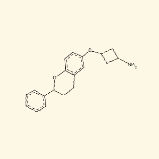 NC1CC(Oc2ccc3c(c2)CCC(c2ccccc2)O3)C1